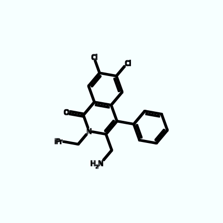 CC(C)Cn1c(CN)c(-c2ccccc2)c2cc(Cl)c(Cl)cc2c1=O